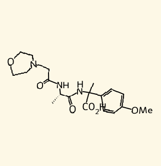 COc1ccc(C(C)(NC(=O)[C@H](C)NC(=O)CN2CCOCC2)C(=O)O)cc1